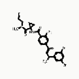 CN(CCF)C(=O)C1(NC(=O)c2ccc(/C(F)=C/C(c3cc(Br)cc(Br)c3)C(F)(F)F)cc2C(F)(F)F)CC1